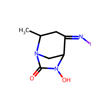 CC1C/C(=N/I)C2CN1C(=O)N2O